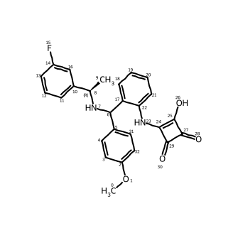 COc1ccc(C(N[C@H](C)c2cccc(F)c2)c2ccccc2Nc2c(O)c(=O)c2=O)cc1